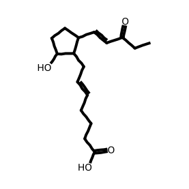 CCC(=O)C=CC1CCC(O)C1CC=CCCCC(=O)O